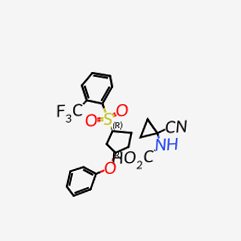 N#CC1(NC(=O)O)CC1.O=S(=O)(c1ccccc1C(F)(F)F)[C@@H]1CC[C@@H](Oc2ccccc2)C1